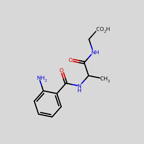 CC(NC(=O)c1ccccc1N)C(=O)NCC(=O)O